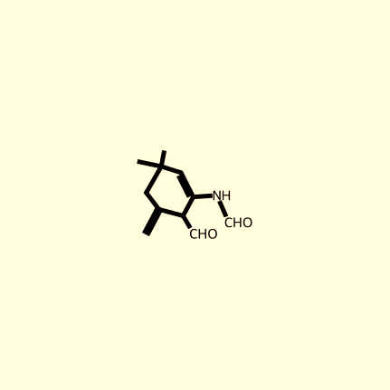 C=C1CC(C)(C)C=C(NC=O)C1C=O